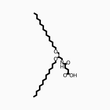 CCCCCCCCCCCCCCOC[C@@H](CNC(=O)CCC(=O)O)OCCCCCCCCCCCCCC